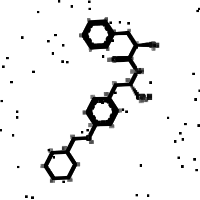 CC(C)(C)[C@H](Cc1ccccc1)C(=O)N[C@@H](Cc1ccc(OCC2CCCCC2)cc1)C(=O)O